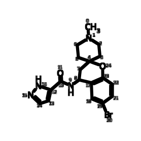 CN1CCC2(CC1)CC(NC(=O)c1ccn[nH]1)c1cc(Br)ccc1O2